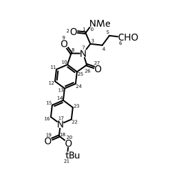 CNC(=O)C(CCC=O)N1C(=O)c2ccc(C3=CCN(C(=O)OC(C)(C)C)CC3)cc2C1=O